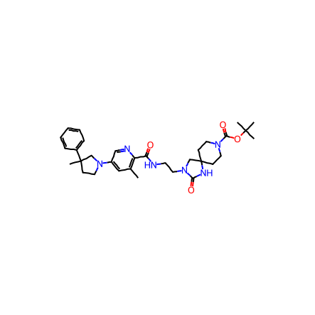 Cc1cc(N2CCC(C)(c3ccccc3)C2)cnc1C(=O)NCCN1CC2(CCN(C(=O)OC(C)(C)C)CC2)NC1=O